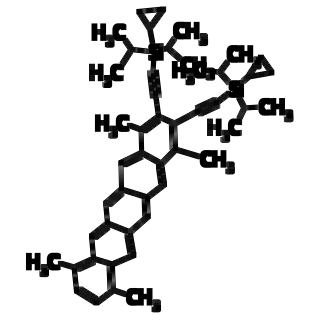 Cc1ccc(C)c2cc3cc4cc5c(C)c(C#C[Si](C(C)C)(C(C)C)C6CC6)c(C#C[Si](C(C)C)(C(C)C)C6CC6)c(C)c5cc4cc3cc12